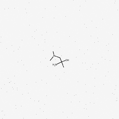 CN(C)CC(C)(N)O